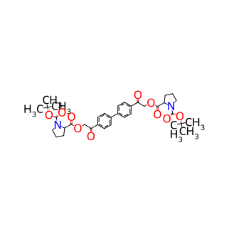 CC(C)(C)OC(=O)N1CCCC1C(=O)OCC(=O)c1ccc(-c2ccc(C(=O)COC(=O)C3CCCN3C(=O)OC(C)(C)C)cc2)cc1